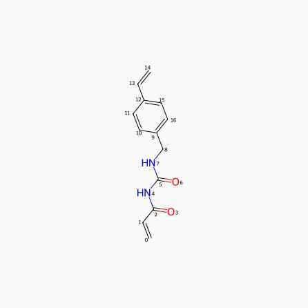 C=CC(=O)NC(=O)NCc1ccc(C=C)cc1